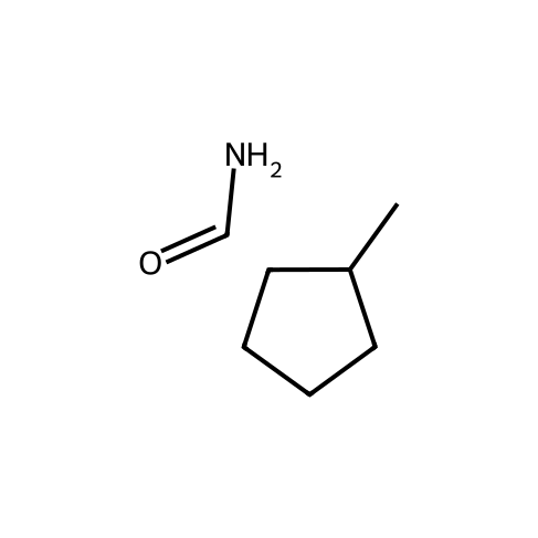 CC1CCCC1.NC=O